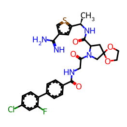 C[C@@H](NC(=O)C1CC2(CN1C(=O)CNC(=O)c1ccc(-c3ccc(Cl)cc3F)cc1)OCCO2)c1cc(C(=N)N)cs1